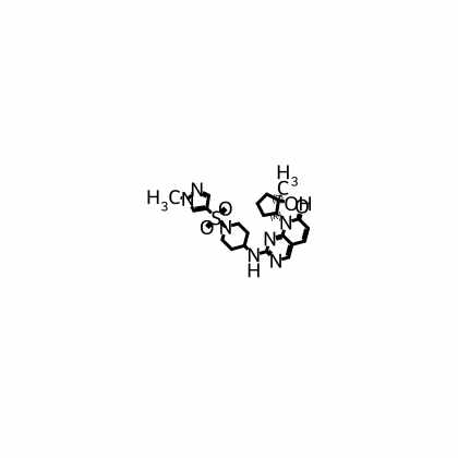 Cn1cc(S(=O)(=O)N2CCC(Nc3ncc4ccc(=O)n([C@@H]5CCC[C@@]5(C)O)c4n3)CC2)cn1